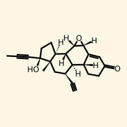 C#C[C@H]1C[C@@]2(C)[C@@H](CC[C@@]2(O)C#CC)[C@@H]2[C@@H]3O[C@@H]3C3=CC(=O)CC[C@@H]3[C@H]21